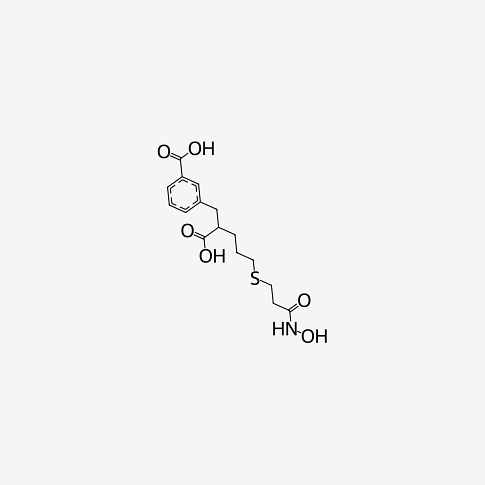 O=C(CCSCCCC(Cc1cccc(C(=O)O)c1)C(=O)O)NO